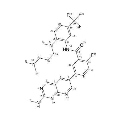 CNc1ncc2cc(-c3ccc(F)c(C(=O)Nc4cc(C(F)(F)F)ccc4N(C)CCCN(C)C)c3)cnc2n1